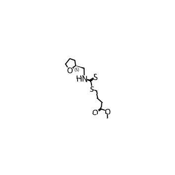 COC(=O)CCCSC(=S)NC[C@@H]1CCCO1